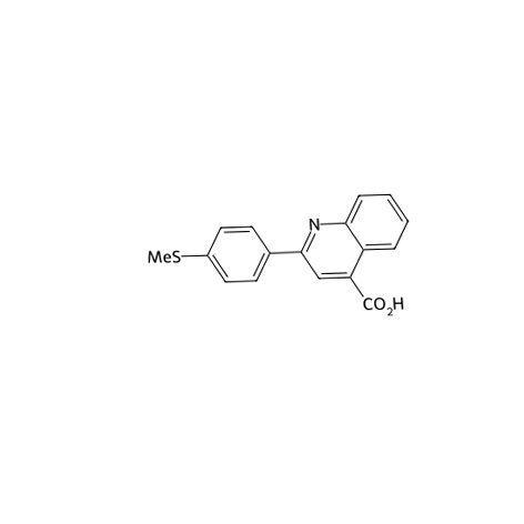 CSc1ccc(-c2cc(C(=O)O)c3ccccc3n2)cc1